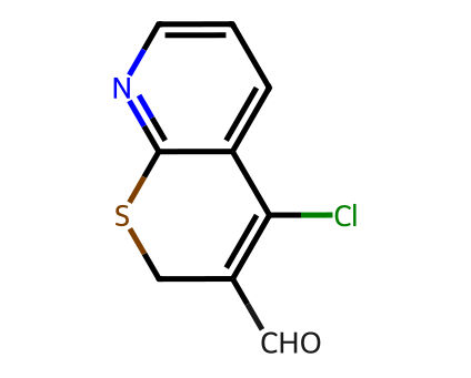 O=CC1=C(Cl)c2cccnc2SC1